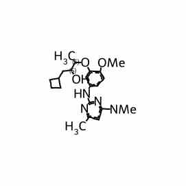 CNc1cc(C)nc(Nc2ccc(OC)c(O[C@@H](C)[C@@H](O)CC3CCC3)c2)n1